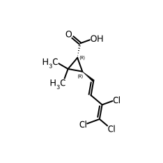 CC1(C)[C@H](C=CC(Cl)=C(Cl)Cl)[C@H]1C(=O)O